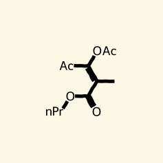 CCCOC(=O)C(C)=C(OC(C)=O)C(C)=O